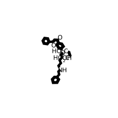 O=C(O)/C=C\C(=O)O.O=c1cc(-c2ccccc2)oc2cc(OCC(O)CCCNCCc3ccccc3)ccc12